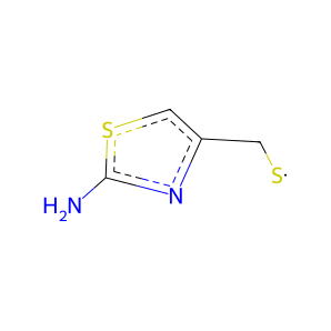 Nc1nc(C[S])cs1